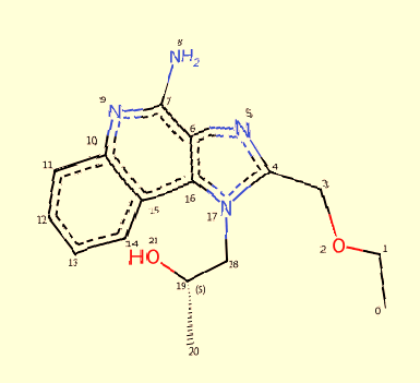 CCOCc1nc2c(N)nc3ccccc3c2n1C[C@H](C)O